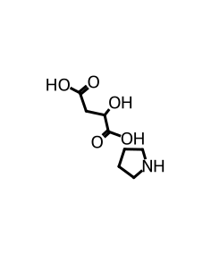 C1CCNC1.O=C(O)CC(O)C(=O)O